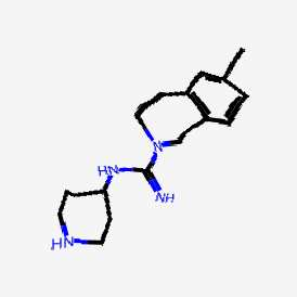 Cc1ccc2c(c1)CCN(C(=N)NC1CCNCC1)C2